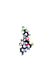 Cc1ccc(C(=O)N2CC3CC[C@H]2[C@H](Oc2ccc(C(F)(F)F)cn2)C3)c(-c2ncc(F)cn2)n1